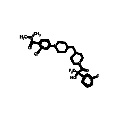 CN(C)C(=O)c1ccc(N2CCC(CC3CCN(C(=O)[C@](O)(c4cccc(F)c4)C(F)(F)F)CC3)CC2)cc1Cl